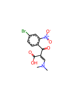 CN(C)C=C(C(=O)O)C(=O)c1ccc(Br)cc1[N+](=O)[O-]